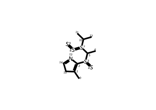 CC1=C(S(=S)C(C)S(=S=S)C(C)C)N=CC1